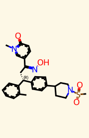 Cc1ccccc1[C@H](CC(=NO)c1ccc(=O)n(C)c1)c1ccc(C2CCN(S(C)(=O)=O)CC2)cc1